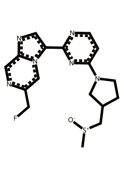 C[S+]([O-])CC1CCN(c2ccnc(-c3cnc4cnc(CF)cn34)n2)C1